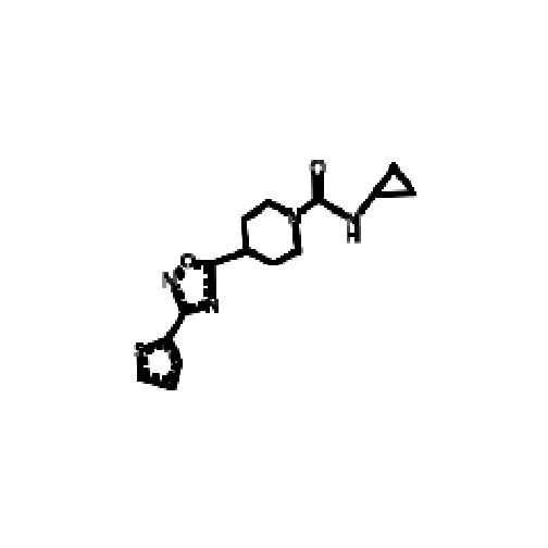 O=C(NC1CC1)N1CCC(c2nc(-c3cccs3)no2)CC1